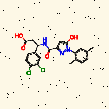 Cc1ccc(C)c(-n2nc(C(=O)NC(CC(=O)O)c3ccc(Cl)c(Cl)c3)cc2O)c1